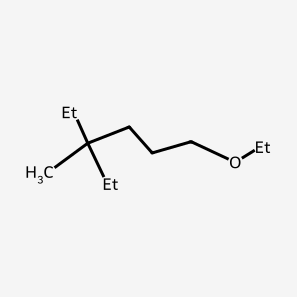 CCOCCCC(C)(CC)CC